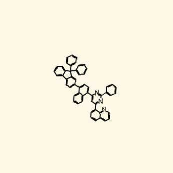 c1ccc(-c2nc(-c3ccc(-c4ccc5c(c4)C(c4ccccc4)(c4ccccc4)c4ccccc4-5)c4ccccc34)cc(-c3cccc4cccnc34)n2)cc1